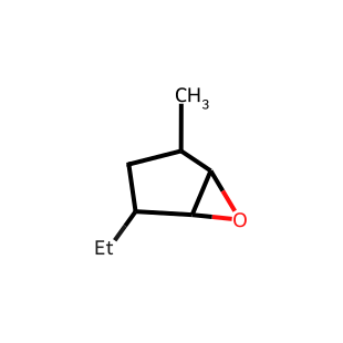 CCC1CC(C)C2OC12